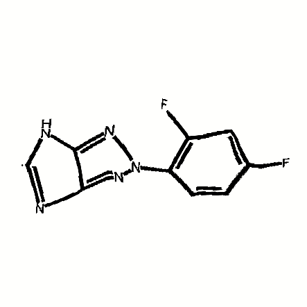 Fc1ccc(-n2nc3n[c][nH]c3n2)c(F)c1